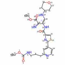 CC(C)(C)OC(=O)NCCCc1cc(-c2nc(C(=O)N/C(=C/NC3CCOCC3)C(=N)C(=O)OC(C)(C)C)cs2)ccn1